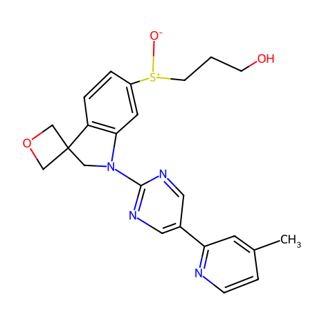 Cc1ccnc(-c2cnc(N3CC4(COC4)c4ccc([S+]([O-])CCCO)cc43)nc2)c1